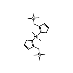 C[Si](C)(C)CC1=[C]([Hf]([CH3])([CH3])[C]2=C(C[Si](C)(C)C)C=CC2)CC=C1